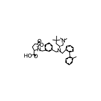 Cc1ccccc1-c1ccccc1CN(Cc1cccc(CN2C(C(=O)O)CCS2(=O)=O)c1)[C@H](CN(C)C)CC(C)(C)C